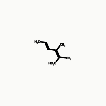 CC=CC(C)=C(C)C(=O)O